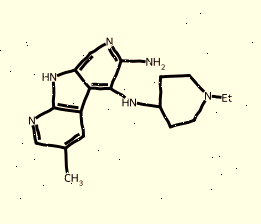 CCN1CCC(Nc2c(N)ncc3[nH]c4ncc(C)cc4c23)CC1